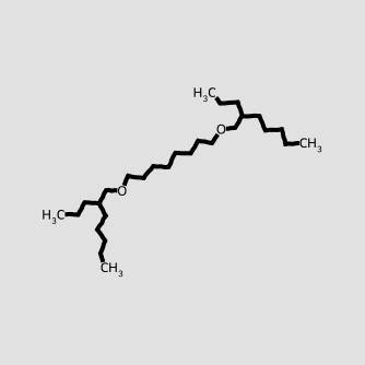 CCCCCC(CCC)COCCCCCCCCOCC(CCC)CCCCC